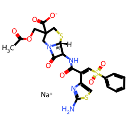 CC(=O)OCC1(C(=O)[O-])CS[C@@H]2C(NC(=O)C(=CS(=O)(=O)c3ccccc3)c3csc(N)n3)C(=O)N2C1.[Na+]